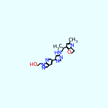 Cc1cc([C@H](C)CNc2cc(-c3cnc4c(cnn4CCO)c3)ncn2)c2c(n1)CCO2